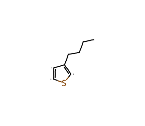 CCCCc1[c][c]s[c]1